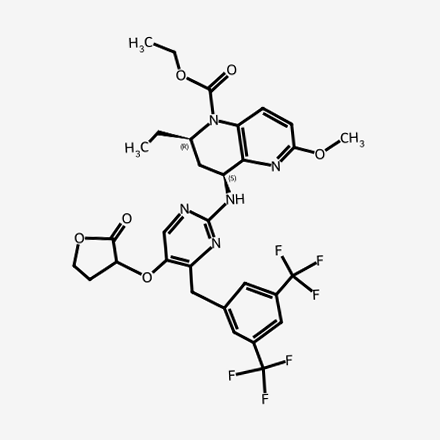 CCOC(=O)N1c2ccc(OC)nc2[C@@H](Nc2ncc(OC3CCOC3=O)c(Cc3cc(C(F)(F)F)cc(C(F)(F)F)c3)n2)C[C@H]1CC